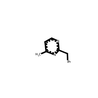 Cc1[c]cnc(CC(C)C)n1